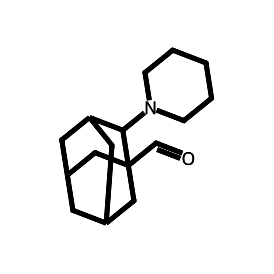 O=CC12CC3CC(CC(C3)C1N1CCCCC1)C2